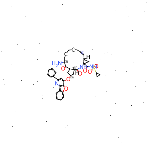 N[C@H]1CCCCC/C=C\[C@@H]2C[C@@]2(C(=O)NS(=O)(=O)C2CC2)NC(=O)[C@@H]2C[C@@H](Oc3cc(-c4ccccc4)nc4c3oc3ccccc34)CC2C1=O